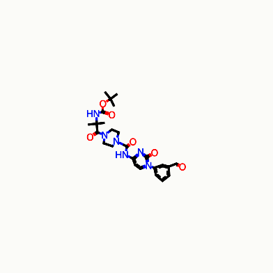 CC(C)(C)OC(=O)NC(C)(C)C(=O)N1CCN(C(=O)Nc2ccn(-c3cccc(C=O)c3)c(=O)n2)CC1